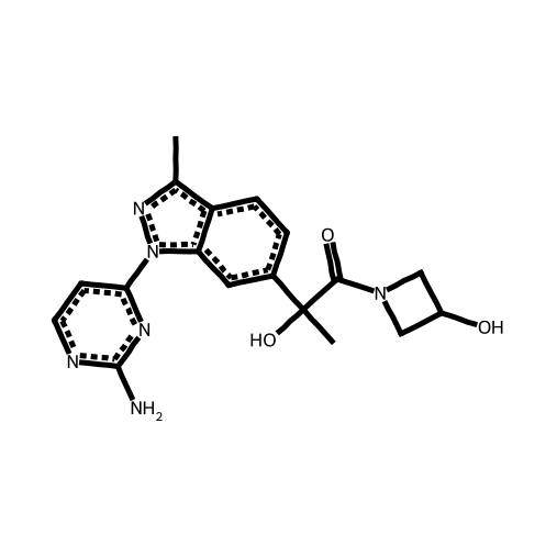 Cc1nn(-c2ccnc(N)n2)c2cc(C(C)(O)C(=O)N3CC(O)C3)ccc12